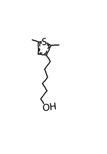 Cc1cc(CCCCCCO)c(C)s1